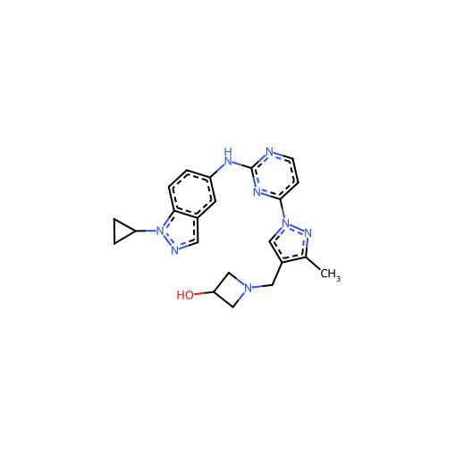 Cc1nn(-c2ccnc(Nc3ccc4c(cnn4C4CC4)c3)n2)cc1CN1CC(O)C1